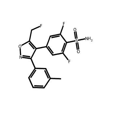 Cc1cccc(-c2noc(CF)c2-c2cc(F)c(S(N)(=O)=O)c(F)c2)c1